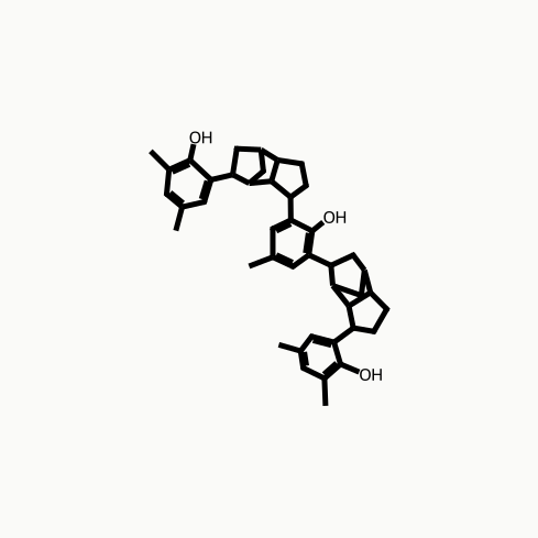 Cc1cc(C)c(O)c(C2CC3CC2C2C(c4cc(C)cc(C5CC6CC5C5C(c7cc(C)cc(C)c7O)CCC65)c4O)CCC32)c1